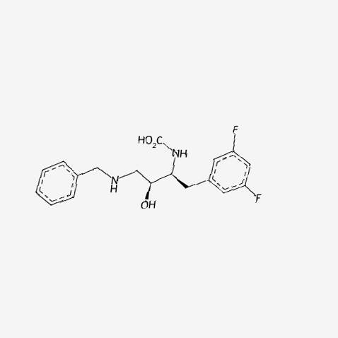 O=C(O)N[C@@H](Cc1cc(F)cc(F)c1)[C@@H](O)CNCc1ccccc1